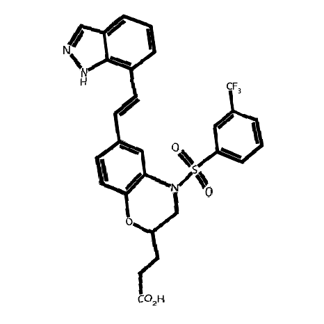 O=C(O)CCC1CN(S(=O)(=O)c2cccc(C(F)(F)F)c2)c2cc(C=Cc3cccc4cn[nH]c34)ccc2O1